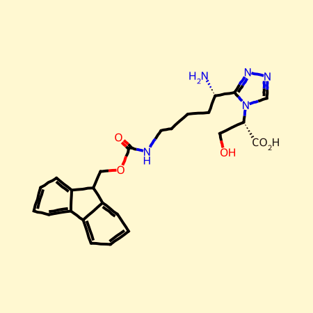 N[C@@H](CCCCNC(=O)OCC1c2ccccc2-c2ccccc21)c1nncn1[C@@H](CO)C(=O)O